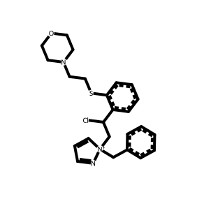 ClC(C[N+]1(Cc2ccccc2)C=CC=N1)c1ccccc1SCCN1CCOCC1